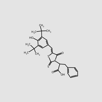 CC(C)(C)c1cc(/C=C2\SC(=S)N(C(Cc3ccccc3)C(=O)O)C2=O)cc(C(C)(C)C)c1O